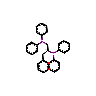 c1ccc(C[C@@H](CP(c2ccccc2)c2ccccc2)P(c2ccccc2)c2ccccc2)cc1